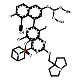 C#Cc1c(F)ccc2cc(OP(OC(C)(C)C)OC(C)(C)C)cc(-c3nc(Cl)c4c(N5CC6CC(C5)N6C(=O)OC(C)(C)C)nc(OCC56CCCN5CCC6)nc4c3F)c12